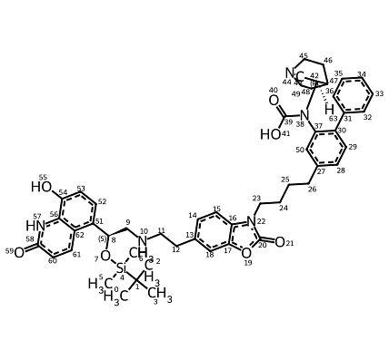 CC(C)(C)[Si](C)(C)O[C@H](CNCCc1ccc2c(c1)oc(=O)n2CCCCc1ccc(-c2ccccc2)c(N(C(=O)O)[C@H]2CN3CCC2CC3)c1)c1ccc(O)c2[nH]c(=O)ccc12